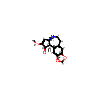 COC1=C[C@@]23CCCN2CCc2cc4c(cc2[C@H]3C1=O)OCO4